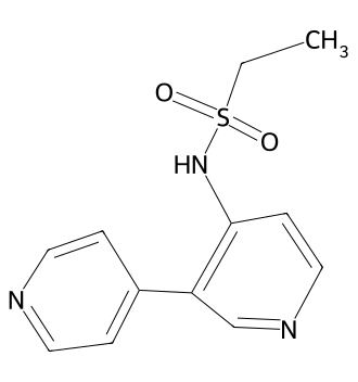 CCS(=O)(=O)Nc1ccncc1-c1ccncc1